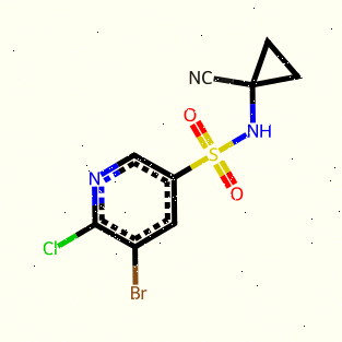 N#CC1(NS(=O)(=O)c2cnc(Cl)c(Br)c2)CC1